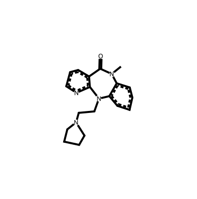 CN1C(=O)c2cccnc2N(CCN2CCCC2)c2ccccc21